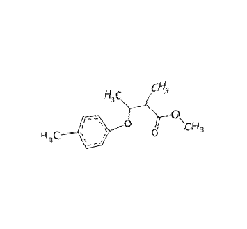 COC(=O)C(C)C(C)Oc1ccc(C)cc1